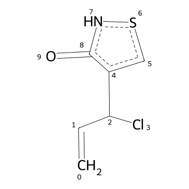 C=CC(Cl)c1cs[nH]c1=O